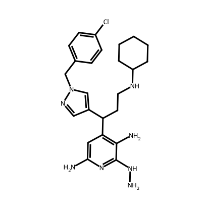 NNc1nc(N)cc(C(CCNC2CCCCC2)c2cnn(Cc3ccc(Cl)cc3)c2)c1N